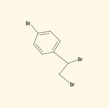 BrCC(Br)c1ccc(Br)cc1